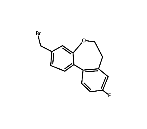 Fc1ccc2c(c1)CCOc1cc(CBr)ccc1-2